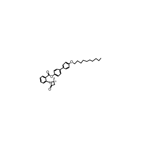 CCCCCCCCCCOc1ccc(-c2ccc(OC(=O)c3ccccc3N3C(=O)C[C@@H]3C)cc2)cc1